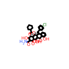 NC(=O)C1=C(O)C[C@@H]2[C@@H](OC(=O)C3CCCCC3)[C@H]3C(=C(O)[C@]2(O)C1=O)C(=O)c1c(O)cccc1/C3=C\c1ccc(Cl)cc1